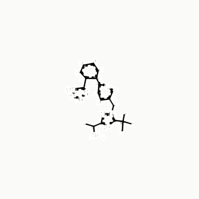 CC(N)c1nc(C(C)(C)C)n(Cc2ccc(-c3ccccc3-c3nnn[nH]3)cc2)n1